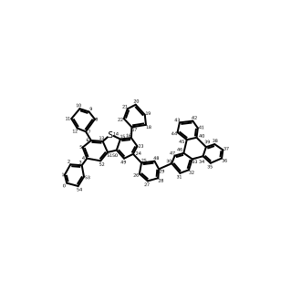 c1ccc(-c2cc(-c3ccccc3)c3sc4c(-c5ccccc5)cc(-c5cccc(-c6ccc7c8ccccc8c8ccccc8c7c6)c5)cc4c3c2)cc1